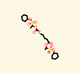 CC(OC(=O)CCCCCC(=O)OC(C)S(=O)(=O)OC1CCCCC1)S(=O)(=O)OC1CCCCC1